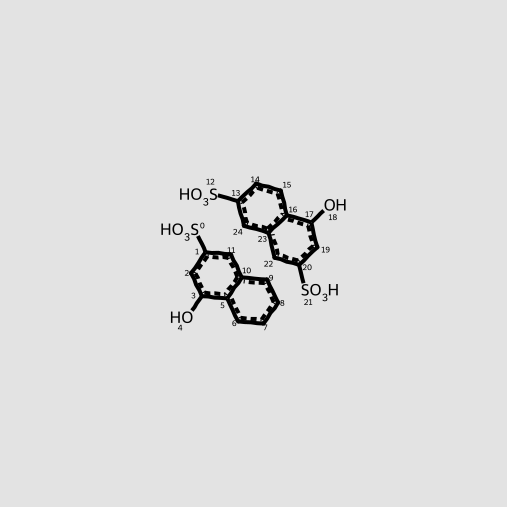 O=S(=O)(O)c1cc(O)c2ccccc2c1.O=S(=O)(O)c1ccc2c(O)cc(S(=O)(=O)O)cc2c1